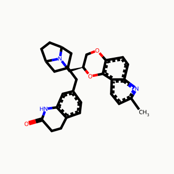 Cc1ccc2c3c(ccc2n1)OC[C@H](CN1C2CCC1CC(Cc1ccc4c(c1)NC(=O)CC4)C2)O3